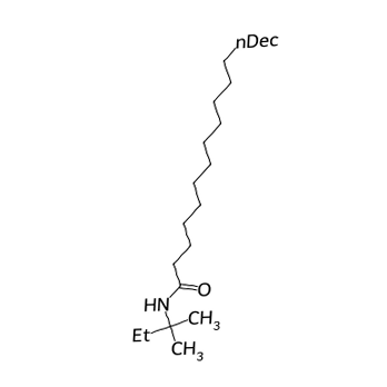 [CH2]CC(C)(C)NC(=O)CCCCCCCCCCCCCCCCCCCCC